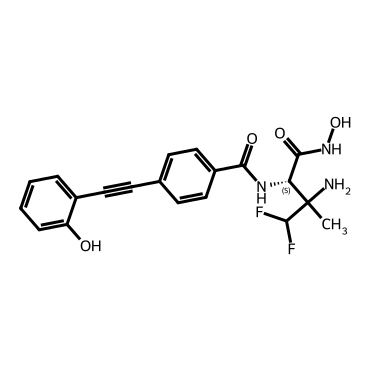 CC(N)(C(F)F)[C@H](NC(=O)c1ccc(C#Cc2ccccc2O)cc1)C(=O)NO